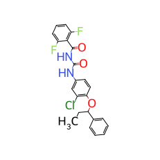 CCC(Oc1ccc(NC(=O)NC(=O)c2c(F)cccc2F)cc1Cl)c1ccccc1